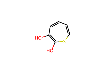 OC1=C(O)SC=CC=C1